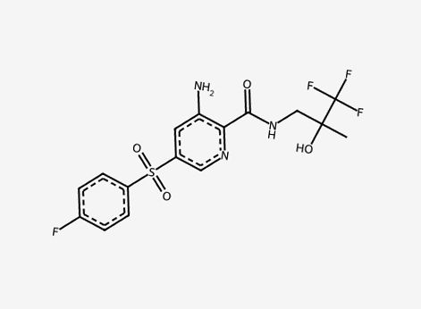 CC(O)(CNC(=O)c1ncc(S(=O)(=O)c2ccc(F)cc2)cc1N)C(F)(F)F